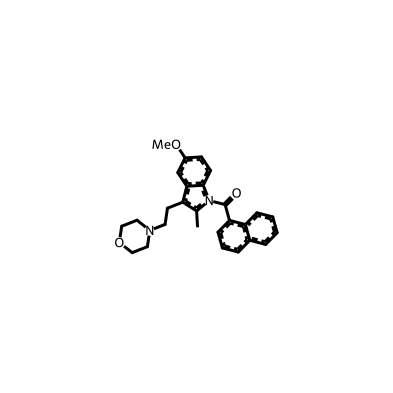 COc1ccc2c(c1)c(CCN1CCOCC1)c(C)n2C(=O)c1cccc2ccccc12